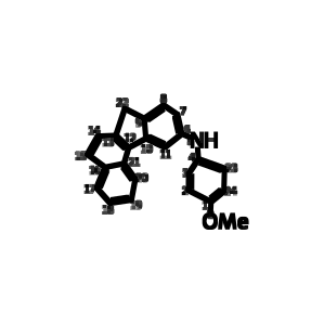 COc1ccc(Nc2ccc3c(c2)-c2c(ccc4ccccc24)C3)cc1